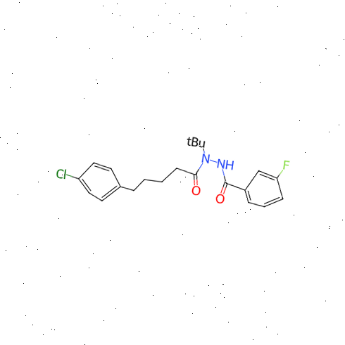 CC(C)(C)N(NC(=O)c1cccc(F)c1)C(=O)CCCCc1ccc(Cl)cc1